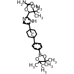 CC(C)(C)C(OC(N)=O)c1ncc(C23CCC(c4ccc(B5OC(C)(C)C(C)(C)O5)cc4)(CC2)CC3)[nH]1